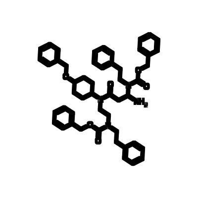 NC(CC(=O)N(CCN(CCc1ccccc1)C(=O)OCc1ccccc1)C1CCC(OCc2ccccc2)CC1)N(CCc1ccccc1)C(=O)OCc1ccccc1